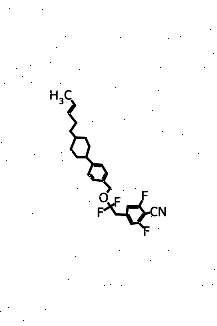 CC=CCCC1CCC(c2ccc(COC(F)(F)Cc3cc(F)c(C#N)c(F)c3)cc2)CC1